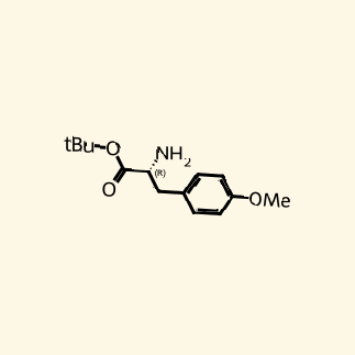 COc1ccc(C[C@@H](N)C(=O)OC(C)(C)C)cc1